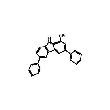 CCCc1cc(-c2ccccc2)cc2c1[nH]c1ccc(-c3ccccc3)cc12